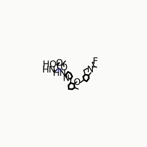 CCO/C(Nc1cccc(-c2cccc(C)c2OCc2ccc3c(c2)CCN(C(C)CF)C3)n1)=C(/C=N)C(=O)O